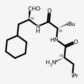 CCC(C)[C@H](NC(=O)[C@@H](N)CC(C)C)C(=O)N[C@H]([C]=O)CC1CCCCC1